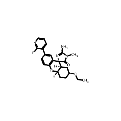 CCO[C@H]1CC[C@@H]2Oc3ccc(-c4cccnc4F)cc3[C@]3(N=C(N)N(C)C3=O)[C@H]2C1